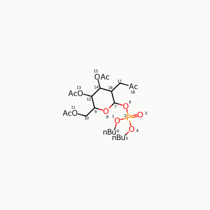 CCCCOP(=O)(OCCCC)OC1OC(COC(C)=O)C(OC(C)=O)C(OC(C)=O)C1CC(C)=O